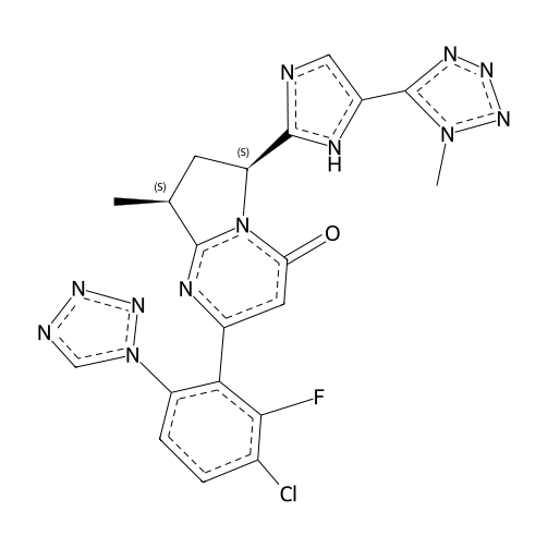 C[C@H]1C[C@@H](c2ncc(-c3nnnn3C)[nH]2)n2c1nc(-c1c(-n3cnnn3)ccc(Cl)c1F)cc2=O